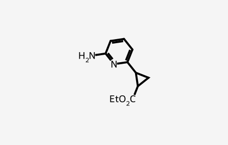 CCOC(=O)C1CC1c1cccc(N)n1